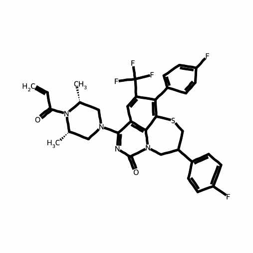 C=CC(=O)N1[C@H](C)CN(c2nc(=O)n3c4c(c(-c5ccc(F)cc5)c(C(F)(F)F)cc24)SCC(c2ccc(F)cc2)C3)C[C@@H]1C